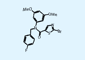 COc1cc(OC)cc(N(Cc2ccc(F)cc2)C(=O)c2cnc(Br)s2)c1